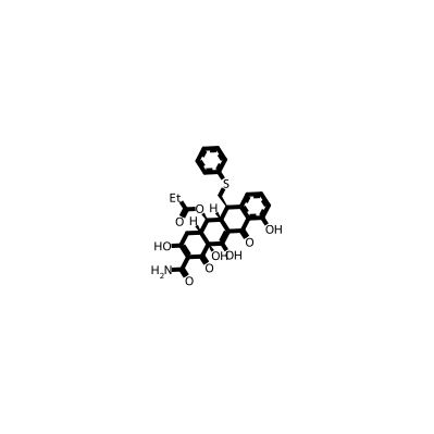 CCC(=O)O[C@H]1[C@H]2C(=C(O)[C@]3(O)C(=O)C(C(N)=O)=C(O)C[C@H]13)C(=O)c1c(O)cccc1[C@@H]2CSc1ccccc1